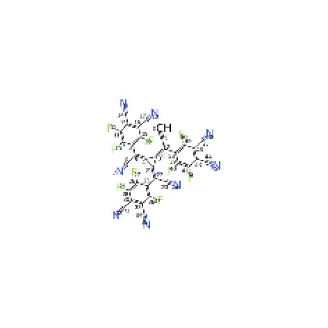 C#C/C(=C1\C(=C(C#N)c2c(F)c(F)c(C#N)c(C#N)c2F)\C1=C(\C#N)c1c(F)c(F)c(C#N)c(C#N)c1F)c1c(F)c(F)c(C#N)c(C#N)c1F